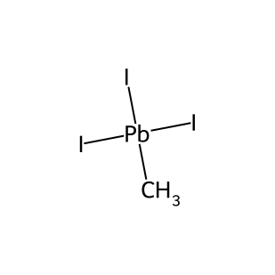 [CH3][Pb]([I])([I])[I]